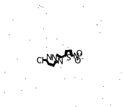 O=[N+]([O-])c1ccc(-c2cn3nc(Cl)ccc3n2)s1